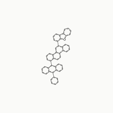 c1ccc(-c2c3ccccc3c(-c3cccc4c3ccc3c5ccccc5c(-c5cccc6c5oc5ccccc56)cc43)c3ccccc23)cc1